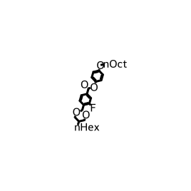 CCCCCCCCOc1ccc(OC(=O)c2ccc(C3OCC(CCCCCC)CO3)c(F)c2)cc1